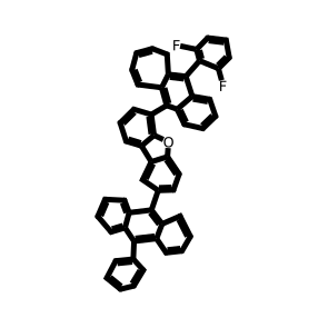 Fc1cccc(F)c1-c1c2c(c(-c3cccc4c3oc3ccc(-c5c6ccccc6c(-c6ccccc6)c6ccccc56)cc34)c3ccccc13)C=CC=CC2